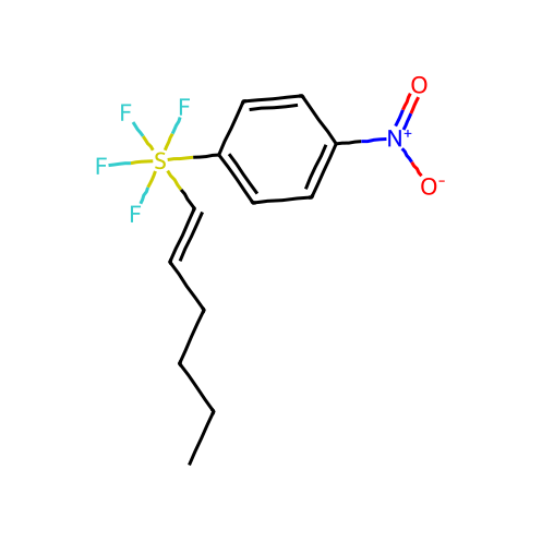 CCCCC=CS(F)(F)(F)(F)c1ccc([N+](=O)[O-])cc1